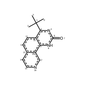 CC(C)(C)c1nc(=O)[nH]c2c1ccc1ccncc12